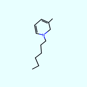 CCCCCCN1C=CC=C(C)C1